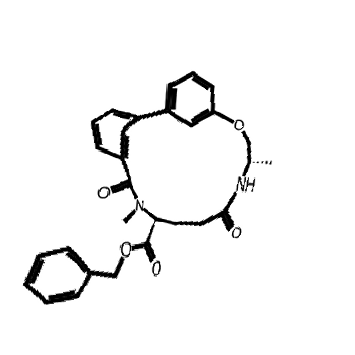 C[C@H]1COc2cccc(c2)-c2cccc(c2)C(=O)N(C)[C@H](C(=O)OCc2ccccc2)CCC(=O)N1